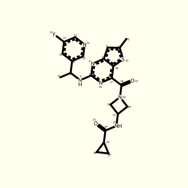 Cc1cc2nc(NC(C)c3cncc(F)c3)nc(C(=O)N3CC(NC(=O)C4CC4)C3)c2s1